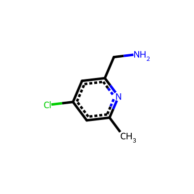 Cc1cc(Cl)cc(CN)n1